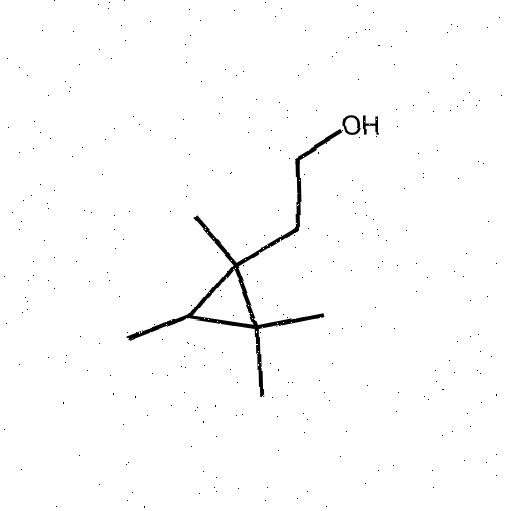 CC1C(C)(C)C1(C)CCO